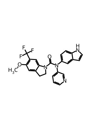 COc1cc2c(cc1C(F)(F)F)N(C(=O)N(c1cccnc1)c1ccc3[nH]ccc3c1)CC2